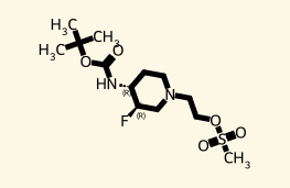 CC(C)(C)OC(=O)N[C@@H]1CCN(CCOS(C)(=O)=O)C[C@H]1F